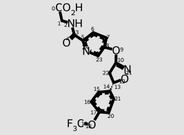 O=C(O)CNC(=O)c1ccc(OC2=NO[C@H](c3ccc(OC(F)(F)F)cc3)C2)cn1